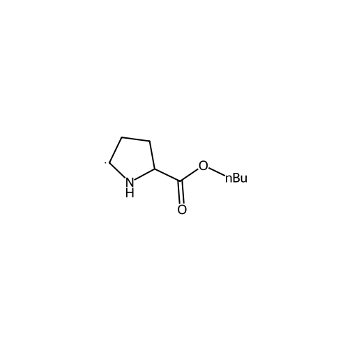 CCCCOC(=O)C1CC[CH]N1